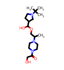 CC(COC(O)C1CCN(C(C)(C)C)C1)N1CCN(C(=O)CO)CC1